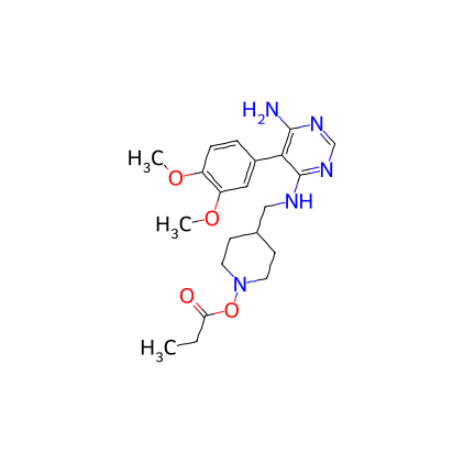 CCC(=O)ON1CCC(CNc2ncnc(N)c2-c2ccc(OC)c(OC)c2)CC1